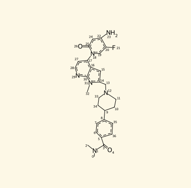 CN(C)C(=O)c1ccc(C2CCN(Cc3cc4c(-n5cc(F)c(N)cc5=O)ccnc4n3C)CC2)cc1